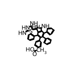 CC(=O)O.N=C1NC(=N)/C(=C2\NC(=N)c3c2c(-c2ccccc2)c(-c2ccccc2)c(-c2ccccc2)c3-c2ccccc2)S1